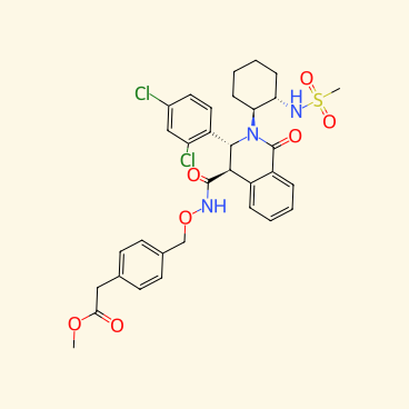 COC(=O)Cc1ccc(CONC(=O)[C@@H]2c3ccccc3C(=O)N([C@H]3CCCC[C@@H]3NS(C)(=O)=O)[C@H]2c2ccc(Cl)cc2Cl)cc1